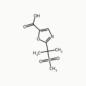 CC(C)(c1ncc(C(=O)O)o1)S(C)(=O)=O